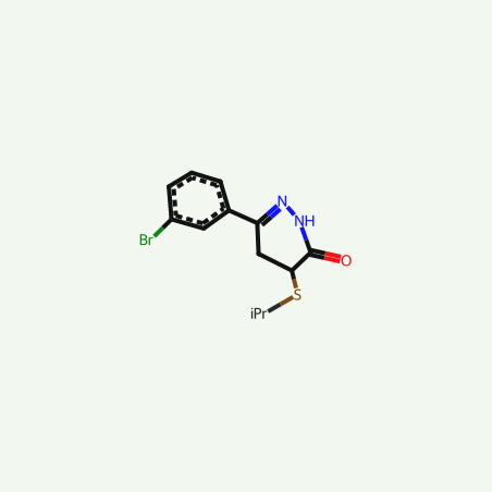 CC(C)SC1CC(c2cccc(Br)c2)=NNC1=O